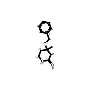 CC1(OCc2ccccc2)CCOC(=O)C1